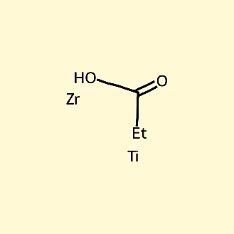 CCC(=O)O.[Ti].[Zr]